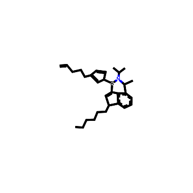 C=CCCCC1=CC(B2C3=CC(CCCCCC)c4cccc(c43)C(C)N2C(C)C)C=C1